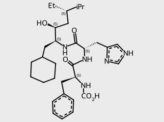 CC[C@@H](C[C@H](O)[C@H](CC1CCCCC1)NC(=O)[C@H](Cc1c[nH]cn1)NC(=O)[C@H](Cc1ccccc1)NC(=O)O)C(C)C